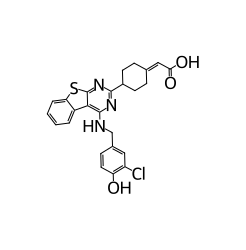 O=C(O)C=C1CCC(c2nc(NCc3ccc(O)c(Cl)c3)c3c(n2)sc2ccccc23)CC1